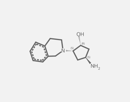 N[C@@H]1C[C@@H](O)[C@@H](N2CCc3ccccc3C2)C1